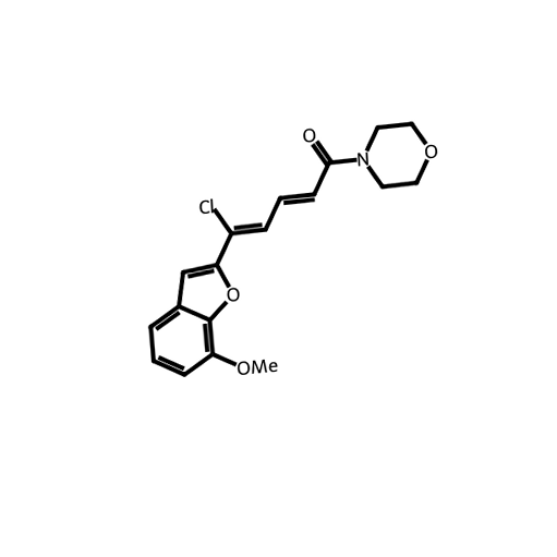 COc1cccc2cc(C(Cl)=CC=CC(=O)N3CCOCC3)oc12